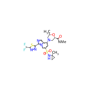 CNC(=O)[C@H]1CN(c2cc(S(=O)(=O)NC3(C)CC3)cn3c(-c4nnc(C(F)F)s4)ncc23)C[C@@H](C)O1